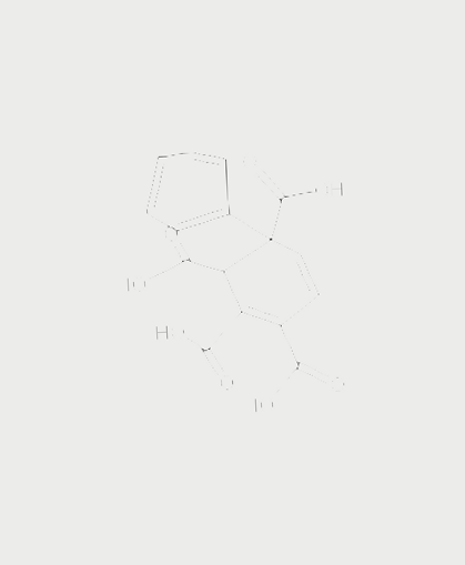 O=C(O)C1=C(C(=O)O)C(C(=O)O)C(C(=O)O)(c2ccccc2)C=C1